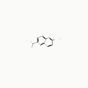 CCCCC(C)c1ccc2cc(OC)ccc2c1